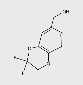 OCc1ccc2c(c1)OC(F)(F)CO2